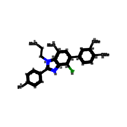 COCCn1c(-c2ccc(C(C)C)cc2)nc2c(Br)c(-c3ccc(OC)c(OC)c3)cc(OC)c21